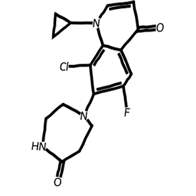 O=C1CCN(c2c(F)cc3c(=O)ccn(C4CC4)c3c2Cl)CCN1